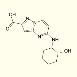 O=C(O)c1cc2nc(N[C@H]3CCCC[C@H]3O)ccn2n1